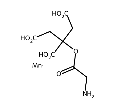 NCC(=O)OC(CC(=O)O)(CC(=O)O)C(=O)O.[Mn]